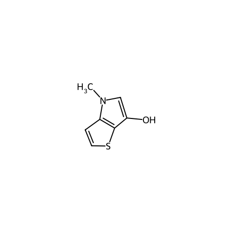 Cn1cc(O)c2sccc21